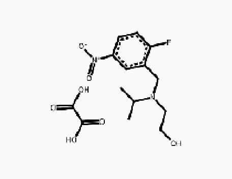 CC(C)N(CCO)Cc1cc([N+](=O)[O-])ccc1F.O=C(O)C(=O)O